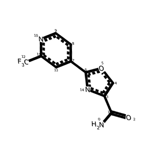 NC(=O)c1coc(-c2ccnc(C(F)(F)F)c2)n1